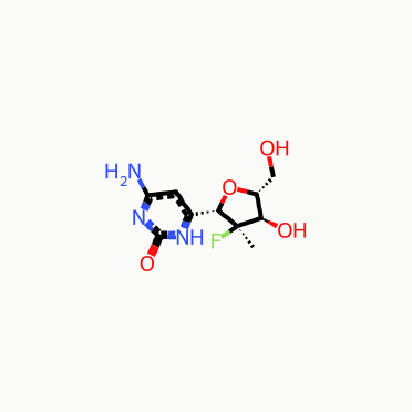 C[C@@]1(F)[C@H](O)[C@@H](CO)O[C@H]1c1cc(N)nc(=O)[nH]1